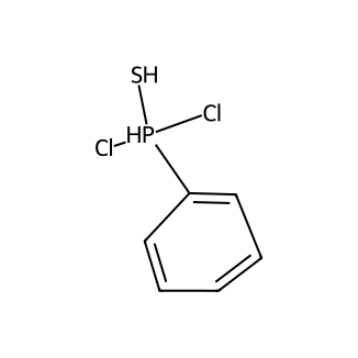 S[PH](Cl)(Cl)c1ccccc1